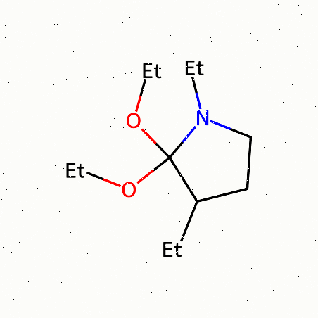 CCOC1(OCC)C(CC)CCN1CC